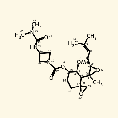 CO[C@H]1C([C@@]2(C)O[C@@H]2CC=C(C)C)[C@]2(CC[C@H]1OC(=O)N1CC(NC(=O)N(C)C)C1)CO2